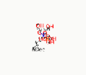 CCCCCCCCCCCCCCCCN(OCCO)OCCO.O=P(O)(O)O